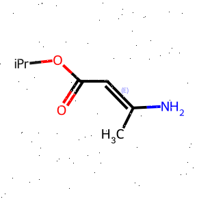 C/C(N)=C\C(=O)OC(C)C